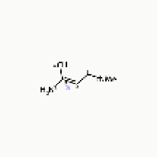 CNC/C=C(\C)N